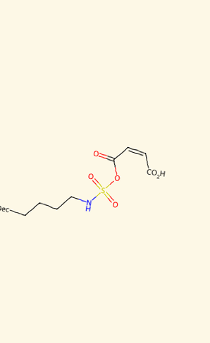 CCCCCCCCCCCCCCNS(=O)(=O)OC(=O)/C=C\C(=O)O